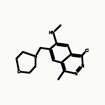 CNc1cc2c(Cl)nnc(C)c2cc1CN1CCOCC1